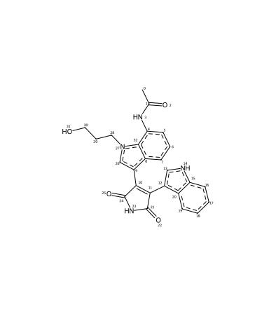 CC(=O)Nc1cccc2c(C3=C(c4c[nH]c5ccccc45)C(=O)NC3=O)cn(CCCO)c12